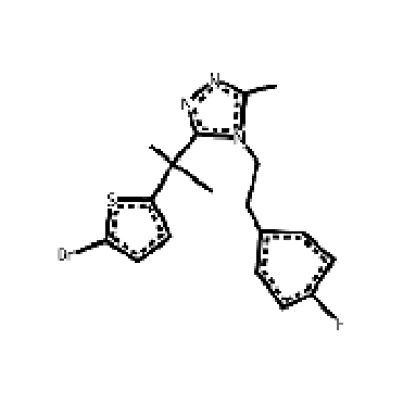 Cc1nnc(C(C)(C)c2ccc(Br)s2)n1CCc1ccc(F)cc1